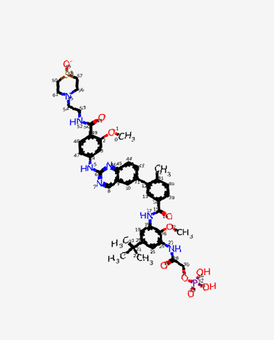 COc1cc(Nc2ncc3cc(-c4cc(C(=O)Nc5cc(C(C)(C)C)cc(NC(=O)COP(=O)(O)O)c5OC)ccc4C)ccc3n2)ccc1C(=O)NCCN1CC[S+]([O-])CC1